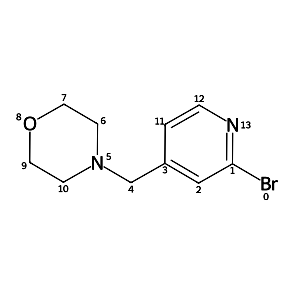 Brc1cc(CN2CCOCC2)ccn1